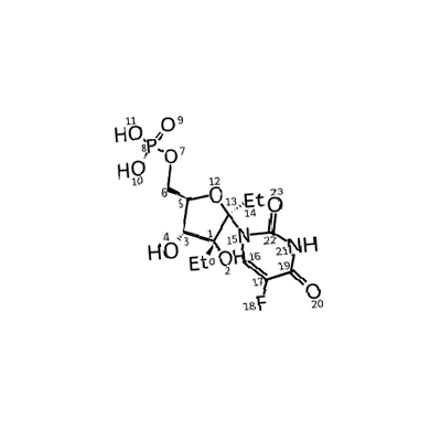 CC[C@@]1(O)[C@H](O)[C@@H](COP(=O)(O)O)O[C@@]1(CC)n1cc(F)c(=O)[nH]c1=O